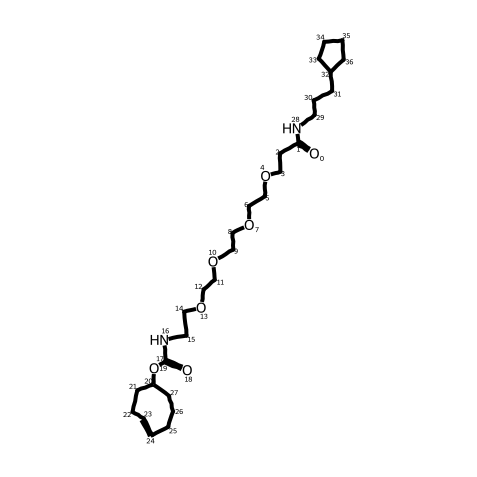 O=C(CCOCCOCCOCCOCCNC(=O)OC1CC/C=C/CCC1)NCCCC1CCCC1